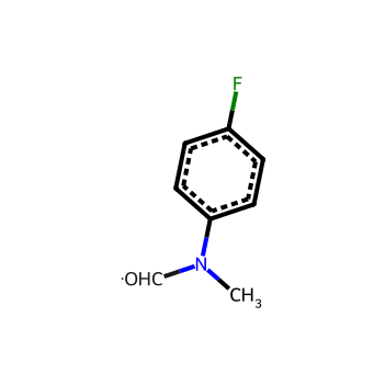 CN([C]=O)c1ccc(F)cc1